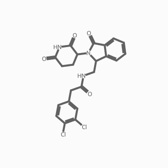 O=C(Cc1ccc(Cl)c(Cl)c1)NCC1c2ccccc2C(=O)N1C1CCC(=O)NC1=O